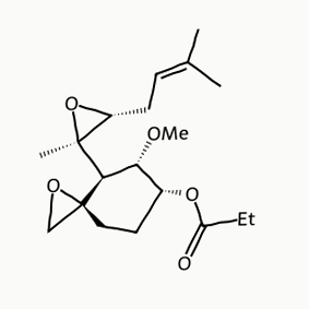 CCC(=O)O[C@@H]1CC[C@]2(CO2)[C@@H]([C@@]2(C)O[C@@H]2CC=C(C)C)[C@@H]1OC